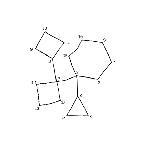 C1CCC(C2CC2)(C2([C]3CCC3)CCC2)CC1